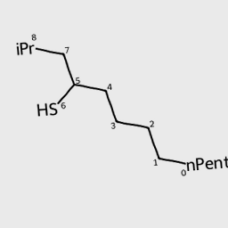 CCCCCCCCCC(S)CC(C)C